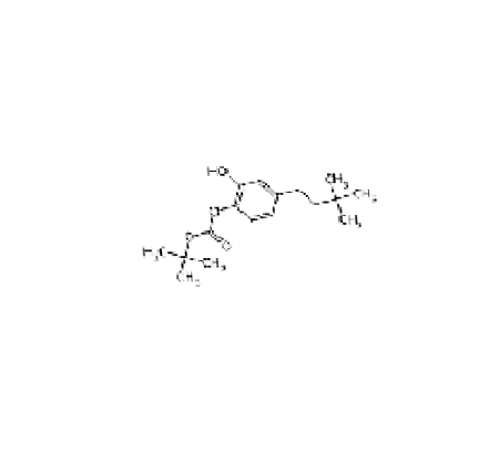 CC(C)(C)CCc1ccc(OC(=O)OC(C)(C)C)c(O)c1